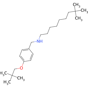 CC(C)(C)CCCCCCCNCc1ccc(OCC(C)(C)C)cc1